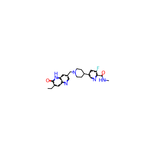 CCc1cc2ncc(CN3CCC(c4cnc(C(=O)NC)c(F)c4)CC3)cc2[nH]c1=O